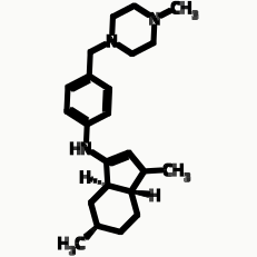 CC1C=C(Nc2ccc(CN3CCN(C)CC3)cc2)[C@@H]2C[C@H](C)CC[C@@H]12